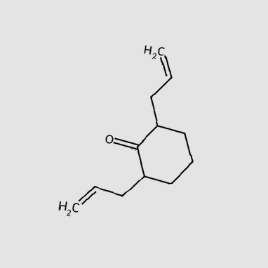 C=CCC1CCCC(CC=C)C1=O